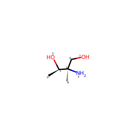 C[C@@H](O)[C@](C)(N)CO